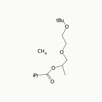 C.CC(COCCOC(C)(C)C)OC(=O)C(C)C